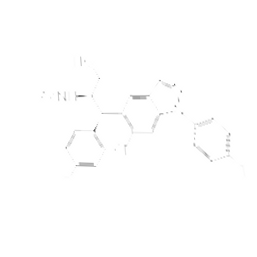 CC(=O)N[C@@H](CO)[C@H](c1ccc(F)cc1)c1cc2cnn(-c3ccc(F)cc3)c2cc1Cl